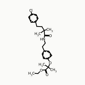 CCOC(=O)C(C)(C)Oc1ccc(CCNC(=O)C(C)(C)CCc2ccc(Cl)cc2)cc1